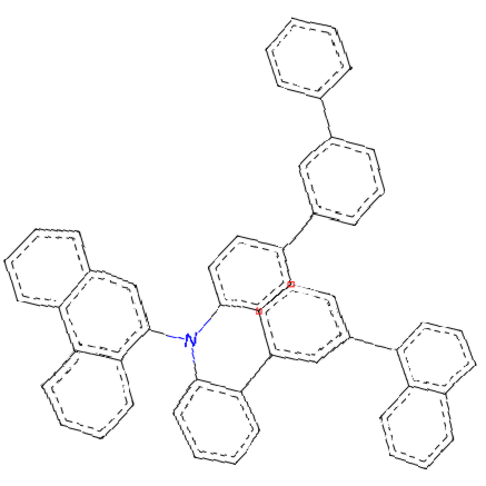 c1ccc(-c2cccc(-c3ccc(N(c4ccccc4-c4cccc(-c5cccc6ccccc56)c4)c4cc5ccccc5c5ccccc45)cc3)c2)cc1